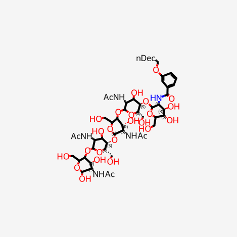 CCCCCCCCCCCOc1cccc(C(=O)N[C@@H]2C(O[C@H]3C(O)C(NC(C)=O)C(OC4C(CO)O[C@@H](O[C@H]5C(O)C(NC(C)=O)C(OC6C(CO)OC(O)[C@@H](NC(C)=O)[C@H]6O)O[C@H]5CO)[C@@H](NC(C)=O)[C@H]4O)O[C@H]3CO)OC(CO)[C@@H](O)[C@@H]2O)c1